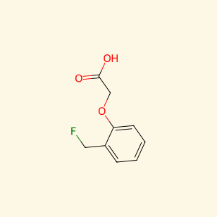 O=C(O)COc1ccccc1CF